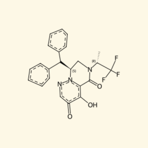 C[C@@H](N1C[C@H](C(c2ccccc2)c2ccccc2)n2ncc(=O)c(O)c2C1=O)C(F)(F)F